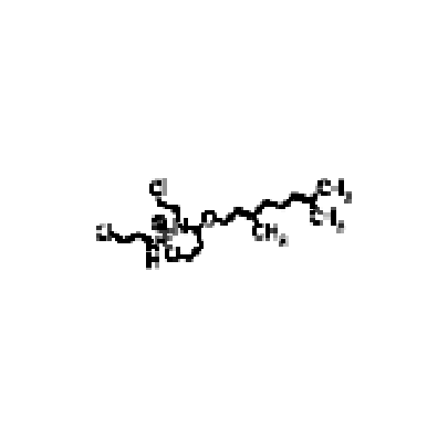 CC(C)=CCC/C(C)=C/COC1CCOP(=O)(NCCCl)N1CCCl